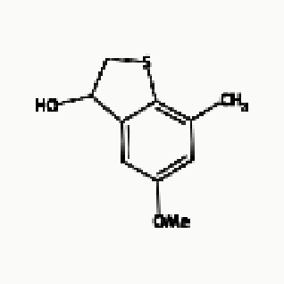 COc1cc(C)c2c(c1)C(O)CS2